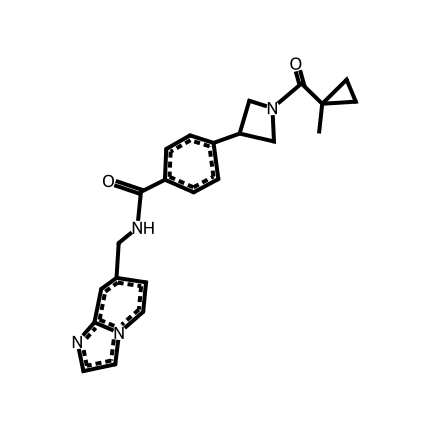 CC1(C(=O)N2CC(c3ccc(C(=O)NCc4ccn5ccnc5c4)cc3)C2)CC1